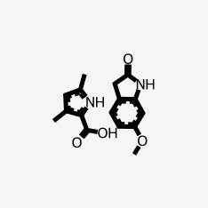 COc1ccc2c(c1)NC(=O)C2.Cc1cc(C)c(C(=O)O)[nH]1